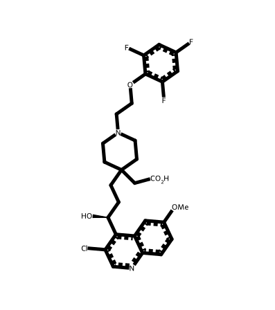 COc1ccc2ncc(Cl)c([C@@H](O)CCC3(CC(=O)O)CCN(CCOc4c(F)cc(F)cc4F)CC3)c2c1